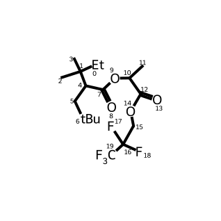 CCC(C)(C)C(CC(C)(C)C)C(=O)OC(C)C(=O)OCC(F)(F)C(F)(F)F